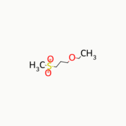 CCOCCCS(C)(=O)=O